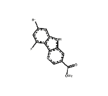 COC(=O)c1cnc2c(c1)[nH]c1cc(Br)cc(F)c12